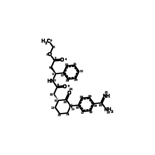 CCOC(=O)C[C@H](NC(=O)C[C@H]1CCCN(c2ccc(C(=N)N)cc2)C1=O)c1ccccc1